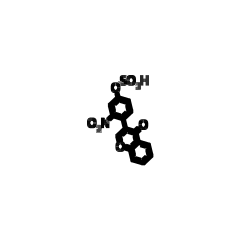 O=c1c(-c2ccc(OS(=O)(=O)O)cc2[N+](=O)[O-])coc2ccccc12